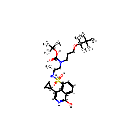 C[C@H](CN(CCCO[Si](C)(C)C(C)(C)C)C(=O)OC(C)(C)C)NS(=O)(=O)c1cccc2c(O)ncc(C3CC3)c12